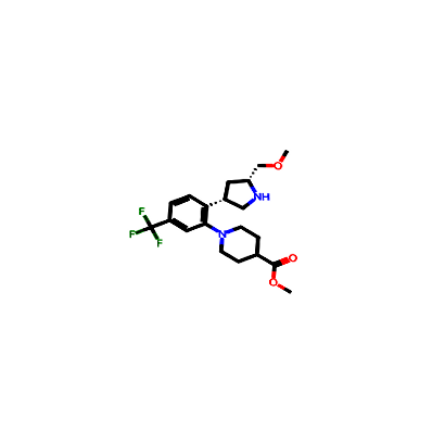 COC[C@H]1C[C@@H](c2ccc(C(F)(F)F)cc2N2CCC(C(=O)OC)CC2)CN1